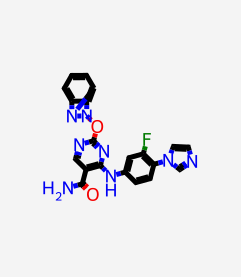 NC(=O)c1cnc(On2c3c4cccc3n42)nc1Nc1ccc(-n2ccnc2)c(F)c1